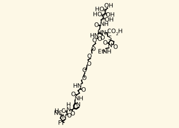 CCNCCN1C(=O)CC(SC[C@@H](NC(=O)[C@@H](CCC(=O)NC[C@H](O)[C@@H](O)[C@H](O)[C@H](O)CO)NC(=O)OCCOCCOCCOCCOCCOCCNC(=O)CCC(=O)NCc2cc(C(=O)N[C@H](C)C(=O)N3CC(F)(F)C[C@H]3C#N)ccn2)C(=O)O)C1=O